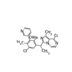 COc1c(C(C)c2nc(C)c3c(Cl)nccn23)cc(Cl)c(C)c1-c1cccnc1